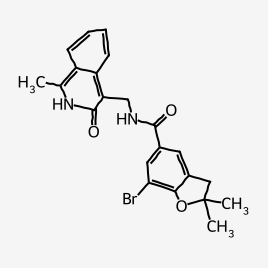 Cc1[nH]c(=O)c(CNC(=O)c2cc(Br)c3c(c2)CC(C)(C)O3)c2ccccc12